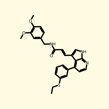 CCSc1cccc(-c2ccnc3[nH]cc(/C=C/C(=O)NCc4ccc(OC)c(OC)c4)c23)c1